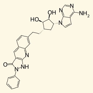 Nc1ncnc2c1ccn2[C@@H]1C[C@H](CCc2ccc3cc4c(=O)n(-c5ccccc5)[nH]c4nc3c2)[C@@H](O)[C@H]1O